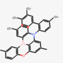 Cc1cc2c3c(c1)N(c1ccc(C(C)(C)C)cc1-c1ccc(C(C)(C)C)c(C(C)(C)C)c1)c1ccc(C(C)(C)C)cc1B3c1cc(C(C)(C)C)ccc1O2